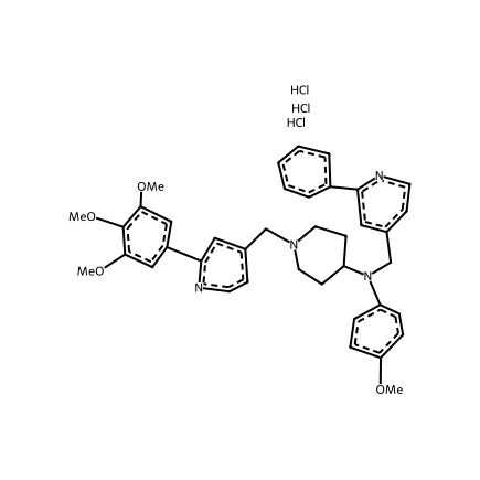 COc1ccc(N(Cc2ccnc(-c3ccccc3)c2)C2CCN(Cc3ccnc(-c4cc(OC)c(OC)c(OC)c4)c3)CC2)cc1.Cl.Cl.Cl